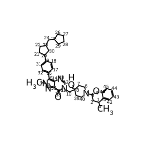 CC(CC(=O)N1CCC(O)(Cn2cnc3c(-c4ccc(C5CCC(CC6CCCC6)C5)cc4)n(C)nc3c2=O)CC1)c1ccccc1